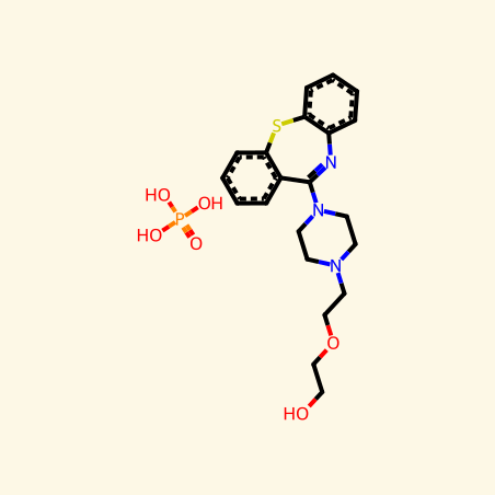 O=P(O)(O)O.OCCOCCN1CCN(C2=Nc3ccccc3Sc3ccccc32)CC1